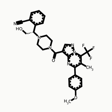 COc1ccc(-c2nc3c(C(=O)N4CCN([C@H](CO)c5ccccc5C#N)CC4)cnn3c(C(F)(F)F)c2C)cc1